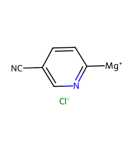 N#Cc1cc[c]([Mg+])nc1.[Cl-]